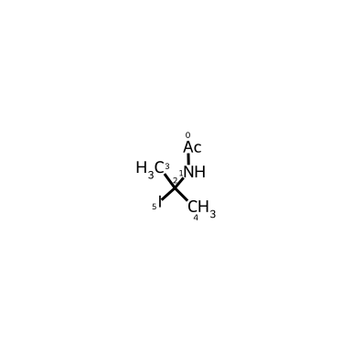 CC(=O)NC(C)(C)I